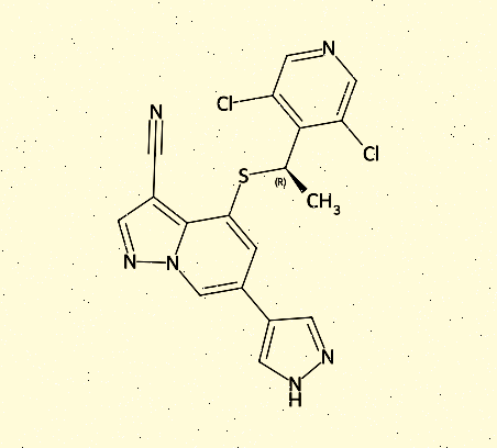 C[C@@H](Sc1cc(-c2cn[nH]c2)cn2ncc(C#N)c12)c1c(Cl)cncc1Cl